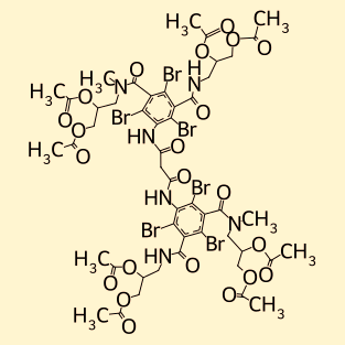 CC(=O)OCC(CNC(=O)c1c(Br)c(NC(=O)CC(=O)Nc2c(Br)c(C(=O)NCC(COC(C)=O)OC(C)=O)c(Br)c(C(=O)N(C)CC(COC(C)=O)OC(C)=O)c2Br)c(Br)c(C(=O)N(C)CC(COC(C)=O)OC(C)=O)c1Br)OC(C)=O